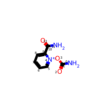 NC(=O)O[n+]1ccccc1C(N)=O